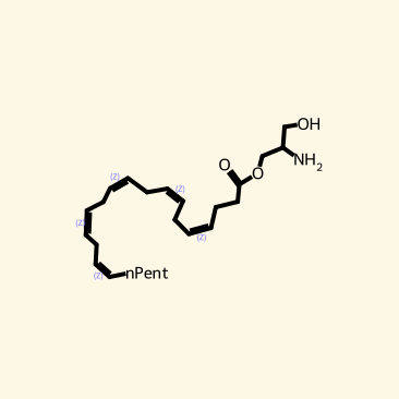 CCCCC/C=C\C/C=C\C/C=C\C/C=C\C/C=C\CCC(=O)OCC(N)CO